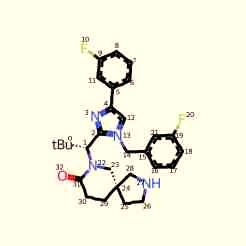 CC(C)(C)[C@H](c1nc(-c2cccc(F)c2)cn1Cc1cccc(F)c1)N1C[C@]2(CCNC2)CCC1=O